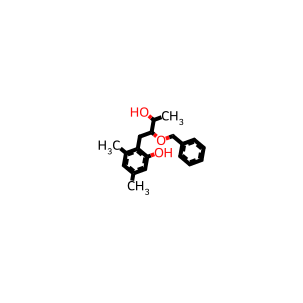 Cc1cc(C)c(CC(OCc2ccccc2)C(C)O)c(O)c1